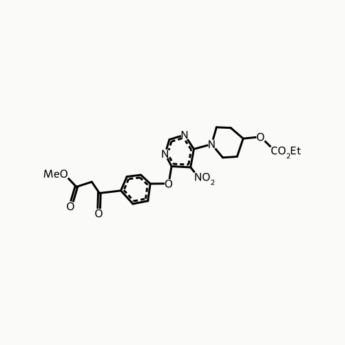 CCOC(=O)OC1CCN(c2ncnc(Oc3ccc(C(=O)CC(=O)OC)cc3)c2[N+](=O)[O-])CC1